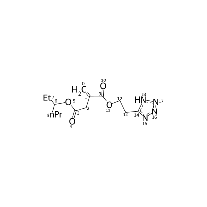 C=C(CC(=O)OC(CC)CCC)C(=O)OCCc1nnn[nH]1